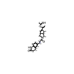 C=C(SC(C)=N)C1=CC2CN(C(=O)/C=C/c3cnc4c(c3)CCC(=O)N4)CC2C1